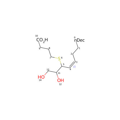 CCCCCCCCCCCC/C=C\C(SCCCC(=O)O)C(O)CO